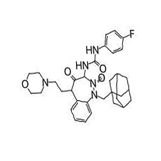 O=C(Nc1ccc(F)cc1)NC1C(=O)C(CCN2CCOCC2)c2ccccc2N(CC23CC4CC(CC(C4)C2)C3)[N+]1=O